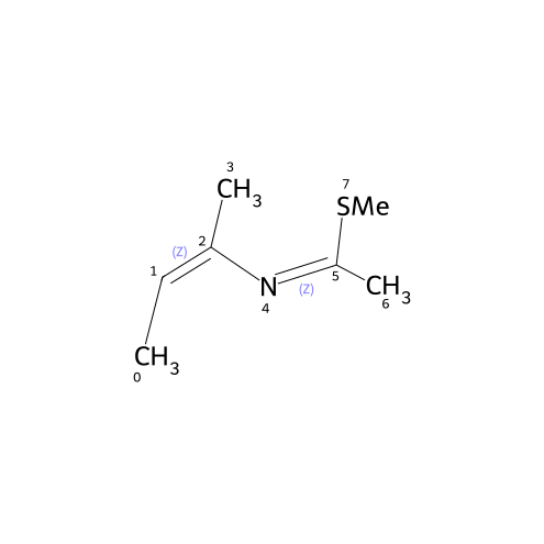 C/C=C(C)\N=C(\C)SC